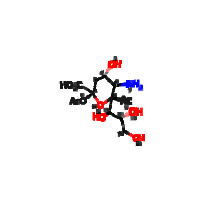 CC(=O)O[C@@]1(C(=O)O)C[C@H](O)[C@@H](N)[C@](C(C)=O)([C@H](O)[C@H](O)CO)O1